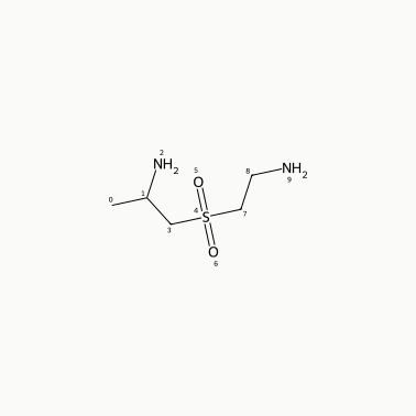 CC(N)CS(=O)(=O)CCN